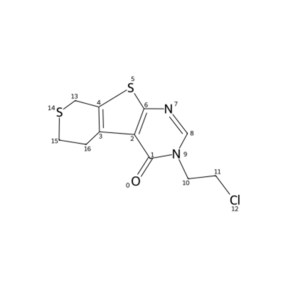 O=c1c2c3c(sc2ncn1CCCl)CSCC3